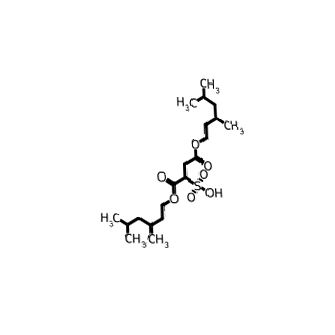 CC(C)CC(C)CCOC(=O)CC(C(=O)OCCC(C)CC(C)C)S(=O)(=O)O